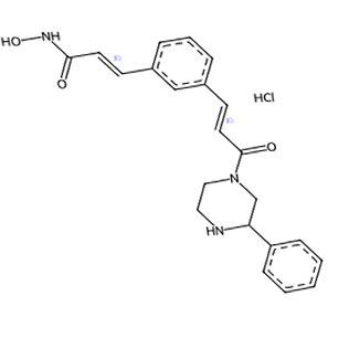 Cl.O=C(/C=C/c1cccc(/C=C/C(=O)N2CCNC(c3ccccc3)C2)c1)NO